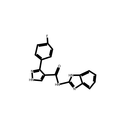 O=C(Nc1nc2ccccc2[nH]1)c1c[nH]nc1-c1ccc(F)cc1